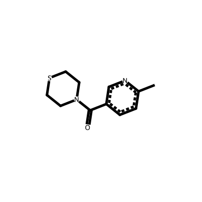 Cc1ccc(C(=O)N2CCSCC2)cn1